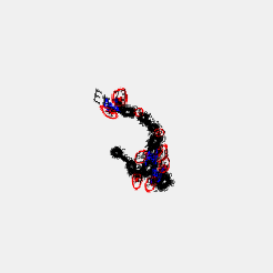 CCN1C(=O)c2ccc(Oc3ccc(C(C)(C)c4ccc(Oc5ccc6c(c5)C(=O)N(c5cc(C(=O)c7ccc(C#Cc8ccccc8)cc7)cc(N7C(=O)c8ccc(C)cc8C7=O)c5)C6=O)cc4)cc3)cc2C1=O